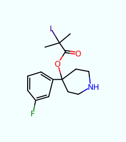 CC(C)(I)C(=O)OC1(c2cccc(F)c2)CCNCC1